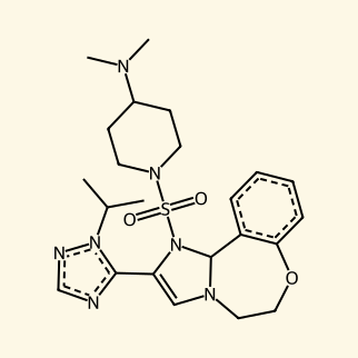 CC(C)n1ncnc1C1=CN2CCOc3ccccc3C2N1S(=O)(=O)N1CCC(N(C)C)CC1